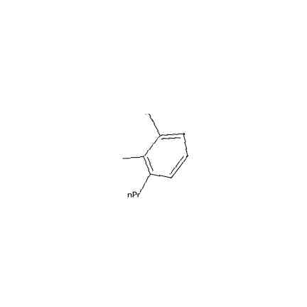 [CH2]c1cccc(CCC)c1C